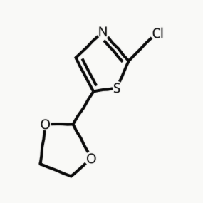 Clc1ncc(C2OCCO2)s1